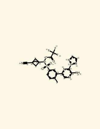 Cc1ccc(S(=O)(=O)N(OC(=O)C(F)(F)F)C23CC(C#N)(C2)C3)cc1-c1cnc(N)c(-n2nccn2)n1